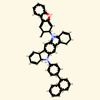 CC1C=c2c(oc3ccccc23)=CC1n1c2c(c3cc4c(cc31)C1C=CC=CC1N4c1ccc(-c3cccc4ccccc34)cc1)CCC=C2